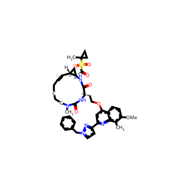 COc1ccc2c(OCC[C@@H]3NC(=O)N(C)CCCC/C=C\[C@@H]4C[C@@]4(C(=O)S(=O)(=O)C4(C)CC4)NC3=O)cc(-c3ccn(Cc4ccccc4)n3)nc2c1C